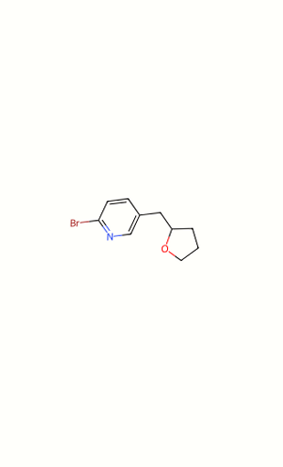 Brc1ccc(CC2CCCO2)cn1